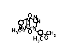 COc1cccc(CNC(=O)c2cc(CN(CC(N)=O)Cc3ccc(C(C)=O)c(C)c3)ncn2)c1